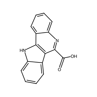 O=C(O)c1nc2ccccc2c2[nH]c3ccccc3c12